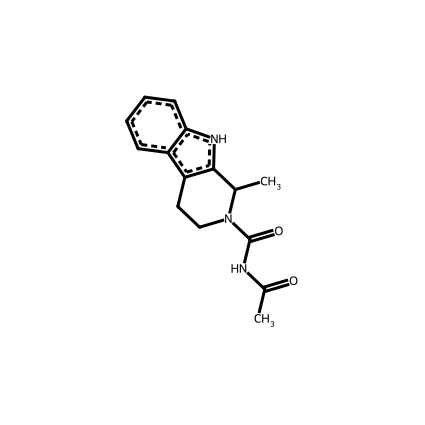 CC(=O)NC(=O)N1CCc2c([nH]c3ccccc23)C1C